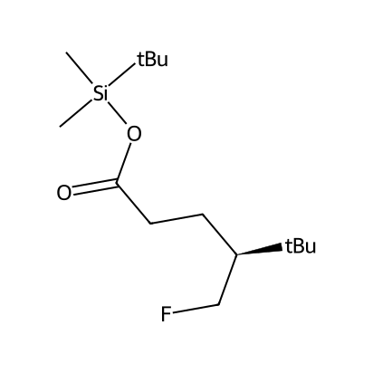 CC(C)(C)[C@@H](CF)CCC(=O)O[Si](C)(C)C(C)(C)C